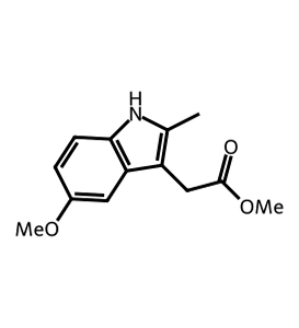 COC(=O)Cc1c(C)[nH]c2ccc(OC)cc12